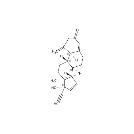 C#C[C@]1(O)C=C[C@H]2[C@@H]3CCC4=CC(=O)CC(=C)[C@@H]4[C@H]3CC[C@@]21C